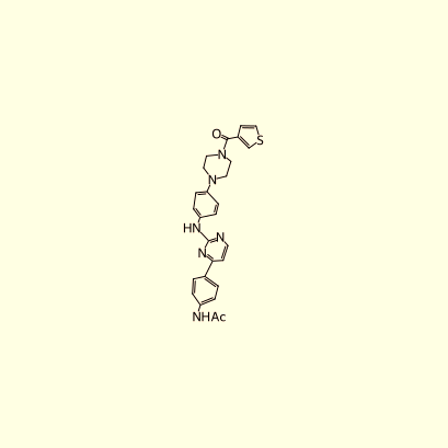 CC(=O)Nc1ccc(-c2ccnc(Nc3ccc(N4CCN(C(=O)c5ccsc5)CC4)cc3)n2)cc1